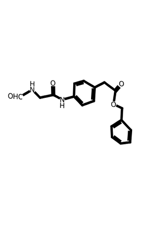 O=CNCC(=O)Nc1ccc(CC(=O)OCc2ccccc2)cc1